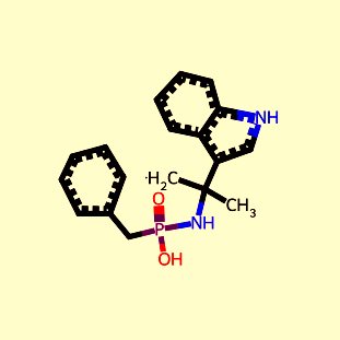 [CH2]C(C)(NP(=O)(O)Cc1ccccc1)c1c[nH]c2ccccc12